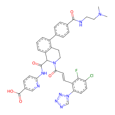 CN(C)CCNC(=O)c1ccc(-c2cccc3c2CCN(C(=O)C=Cc2c(-n4cnnn4)ccc(Cl)c2F)C3C(=O)Nc2ccc(C(=O)O)cn2)cc1